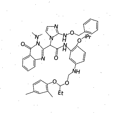 CCC(OCNc1ccc(OC(C)C)c(NC(=O)C(c2nc3ccccc3c(=O)n2N(C)C)n2ccnc2NOCc2ccccc2)c1)Oc1ccc(C)cc1C